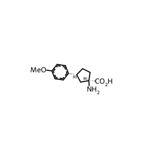 COc1ccc([C@@H]2CC[C@](N)(C(=O)O)C2)cc1